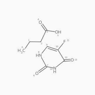 CCCC(=O)O.O=c1[nH]cc(F)c(=O)[nH]1